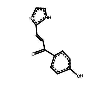 O=C(/C=C/c1ncc[nH]1)c1ccc(O)cc1